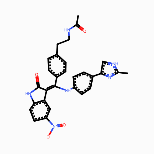 CC(=O)NCCc1ccc(C(Nc2ccc(-c3c[nH]c(C)n3)cc2)=C2C(=O)Nc3ccc([N+](=O)[O-])cc32)cc1